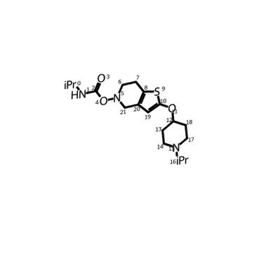 CC(C)NC(=O)ON1CCc2sc(OC3CCN(C(C)C)CC3)cc2C1